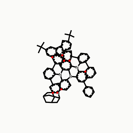 CC(C)(C)c1ccc2c(c1)c1cc(C(C)(C)C)ccc1n2-c1cc2c3c(c1)N(c1c(-c4ccccc4)cccc1-c1ccccc1)c1cc(N4C5CC6CC(C5)CC4C6)ccc1B3c1cc(-c3ccccc3)ccc1N2c1c(-c2ccccc2)cccc1-c1ccccc1